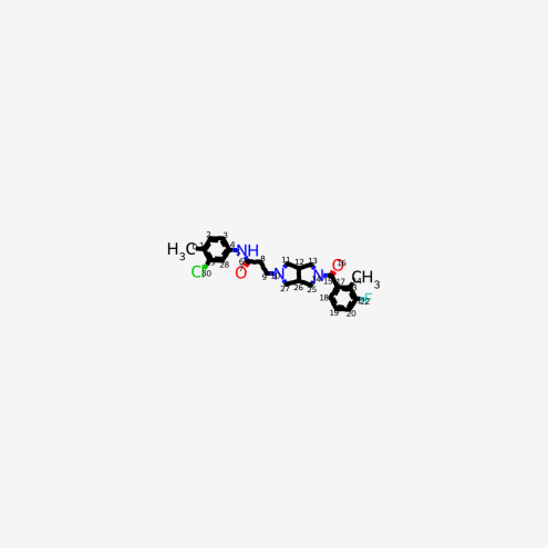 Cc1ccc(NC(=O)CCN2CC3CN(C(=O)c4cccc(F)c4C)CC3C2)cc1Cl